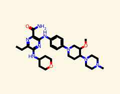 CCc1nc(C(N)=O)c(Nc2ccc(N3CCC(N4CCN(C)CC4)C(OC)C3)cc2)nc1NC1CCOCC1